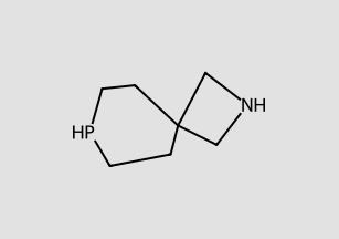 C1CC2(CCP1)CNC2